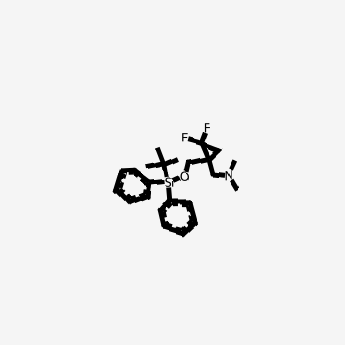 CN(C)CC1(CO[Si](c2ccccc2)(c2ccccc2)C(C)(C)C)CC1(F)F